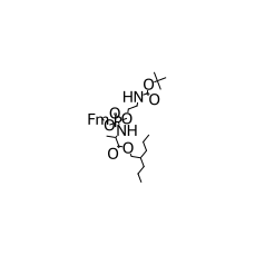 CCCC(CCC)COC(=O)C(C)NP(=O)([O][Fm])OCCNC(=O)OC(C)(C)C